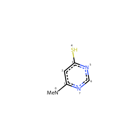 CNc1cc(S)ncn1